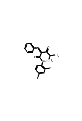 CC(C)C(=O)C(=Cc1ccccc1)C(=O)Nc1ccc(F)cc1F